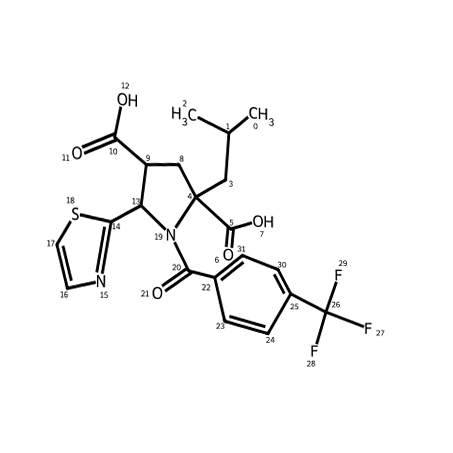 CC(C)CC1(C(=O)O)CC(C(=O)O)C(c2nccs2)N1C(=O)c1ccc(C(F)(F)F)cc1